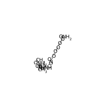 Cc1cccc(C)c1Nc1nn(C)c2nc(Nc3ccc4c(c3)CN(C(=O)CCOCCOCCOCCOCCOC(N)=O)CC4)ncc12